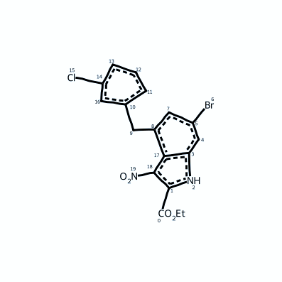 CCOC(=O)c1[nH]c2cc(Br)cc(Cc3cccc(Cl)c3)c2c1[N+](=O)[O-]